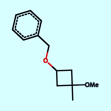 COC1(C)CC(OCc2ccccc2)C1